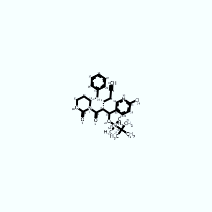 C#CCC[C@@H](C(=O)N1C(=O)OCC[C@@H]1Cc1ccccc1)C(O[Si](C)(C)C(C)(C)C)c1ccc(Cl)nc1